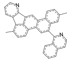 Cc1ccc2c(c1)c(-c1nccc3ccccc13)cc1c3ccc(C)c4c3c(cc21)-c1ncccc1-4